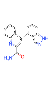 NC(=O)c1cc(-c2cccc3[nH]ncc23)c2ccccc2n1